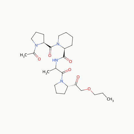 CCCOCC(=O)[C@@H]1CCCN1C(=O)C(C)NC(=O)[C@@H]1CCCCN1C(=O)[C@@H]1CCCN1C(C)=O